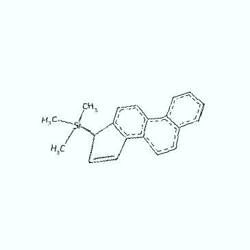 C[Si](C)(C)C1C=Cc2c1ccc1c2ccc2ccccc21